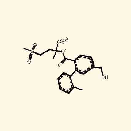 Cc1ccccc1-c1cc(CO)ccc1C(=O)NC(C)(CCS(C)(=O)=O)C(=O)O